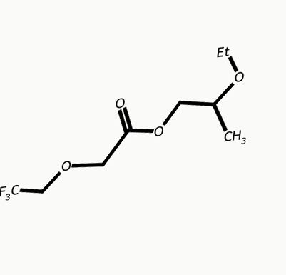 CCOC(C)COC(=O)COCC(F)(F)F